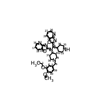 CCOc1cc(CN2CCC(N(c3nc4ncccc4o3)N(c3nc4ncccc4o3)C3CCNCC3)CC2)ccc1OC